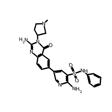 CN1CCC(n2c(N)nc3ccc(-c4cnc(N)c(S(=O)(=O)Nc5ccccc5)c4)cc3c2=O)C1